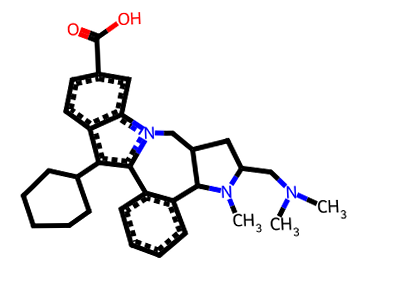 CN(C)CC1CC2Cn3c(c(C4CCCCC4)c4ccc(C(=O)O)cc43)-c3ccccc3C2N1C